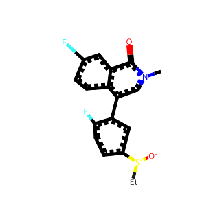 CC[S+]([O-])c1ccc(F)c(-c2cn(C)c(=O)c3cc(F)ccc23)c1